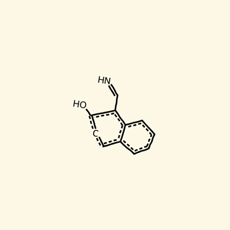 N=Cc1c(O)ccc2ccccc12